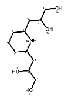 OCC(O)CC1CCCC(CC(O)CO)N1